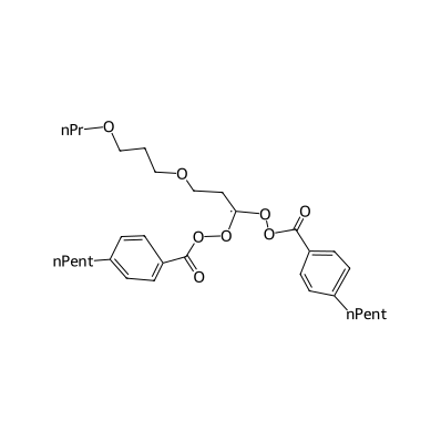 [CH2]CCOCCCOCC[C](OOC(=O)c1ccc(CCCCC)cc1)OOC(=O)c1ccc(CCCCC)cc1